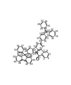 O=c1c2ccccc2c2cc(-c3ccc4c(c3)c3ccccc3n4C3C=CC=CC3)cc3c4cc5c(cc4n1c23)C1(c2ccccc2-c2ccccc21)c1ccccc1-5